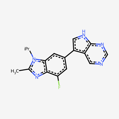 Cc1nc2c(F)cc(-c3c[nH]c4ncncc34)cc2n1C(C)C